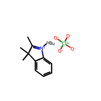 CCCC[N+]1=C(C)C(C)(C)c2ccccc21.[O-][Cl+3]([O-])([O-])[O-]